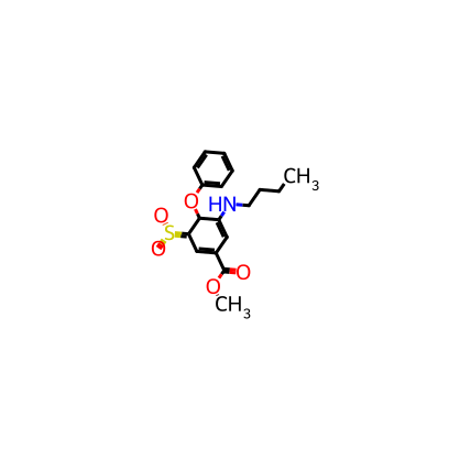 CCCCNC1=CC(C(=O)OC)=CC(=S(=O)=O)C1Oc1ccccc1